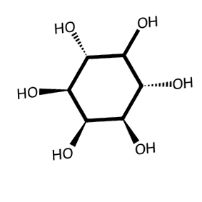 OC1[C@H](O)[C@@H](O)[C@@H](O)[C@@H](O)[C@@H]1O